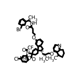 COC(=O)C1(N(C(=O)C(F)(F)F)c2cccc(Cl)c2)CCC2(CC1)c1cc(OCCCC(=O)N[C@@H](C)c3cccc(Br)c3)ccc1C[C@@H]2C[C@@H](C)COc1ccnc2c1[C@H](C)CCC2